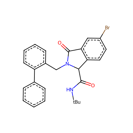 CC(C)(C)NC(=O)C1c2ccc(Br)cc2C(=O)N1Cc1ccccc1-c1ccccc1